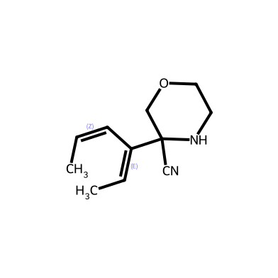 C/C=C\C(=C/C)C1(C#N)COCCN1